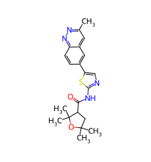 Cc1cc2cc(-c3cnc(NC(=O)C4CC(C)(C)OC4(C)C)s3)ccc2nn1